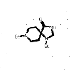 CCN1CCC2(CC1)C(=O)NCN2CC